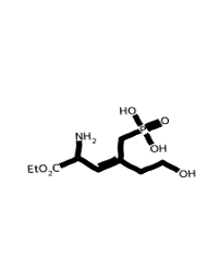 CCOC(=O)C(N)C=C(CCO)CP(=O)(O)O